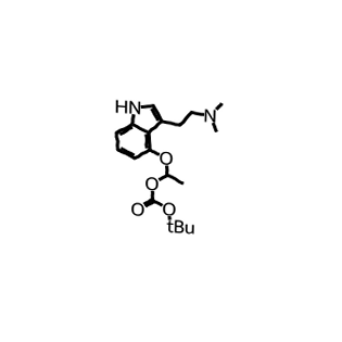 CC(OC(=O)OC(C)(C)C)Oc1cccc2[nH]cc(CCN(C)C)c12